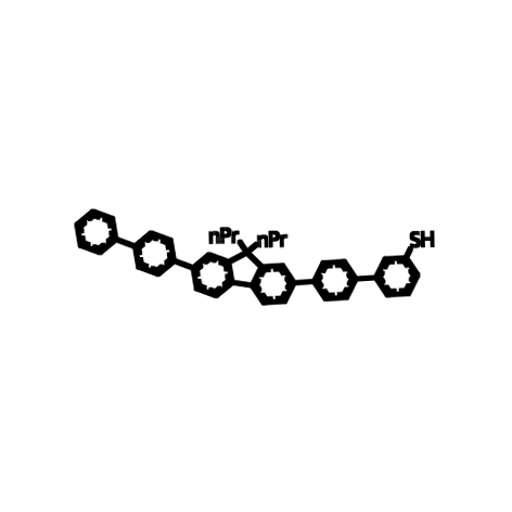 CCCC1(CCC)c2cc(-c3ccc(-c4ccccc4)cc3)ccc2-c2ccc(-c3ccc(-c4cccc(S)c4)cc3)cc21